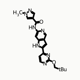 Cn1cc(C(=O)Nc2cc3[nH]c(-c4ccnc(OCC(C)(C)C)n4)cc3cn2)cn1